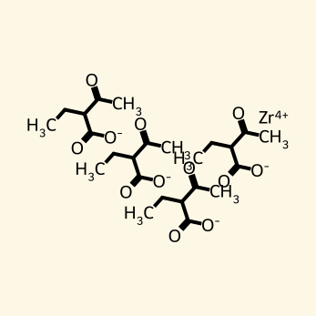 CCC(C(C)=O)C(=O)[O-].CCC(C(C)=O)C(=O)[O-].CCC(C(C)=O)C(=O)[O-].CCC(C(C)=O)C(=O)[O-].[Zr+4]